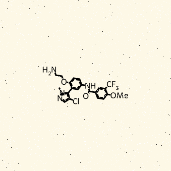 COc1ccc(C(=O)Nc2ccc(OCCN)c(-c3c(Cl)cnn3C)c2)cc1C(F)(F)F